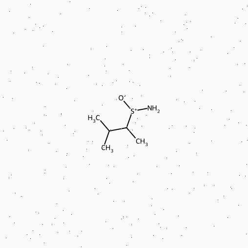 CC(C)C(C)[S+](N)[O-]